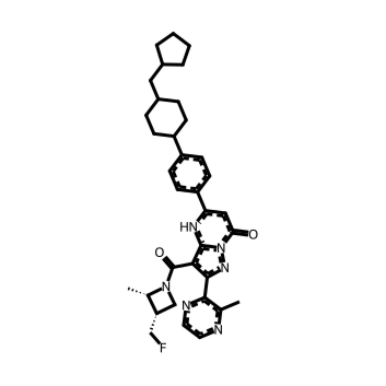 Cc1nccnc1-c1nn2c(=O)cc(-c3ccc(C4CCC(CC5CCCC5)CC4)cc3)[nH]c2c1C(=O)N1C[C@H](CF)[C@@H]1C